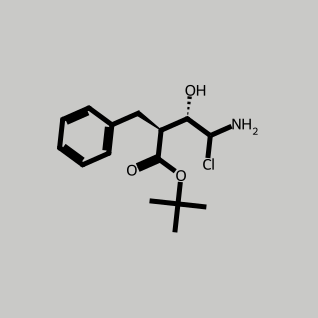 CC(C)(C)OC(=O)[C@@H](Cc1ccccc1)[C@H](O)C(N)Cl